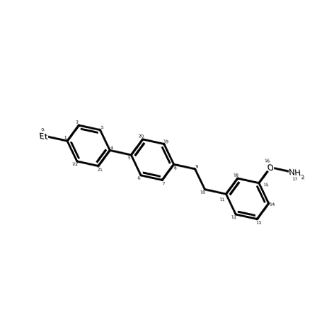 CCc1ccc(-c2ccc(CCc3cccc(ON)c3)cc2)cc1